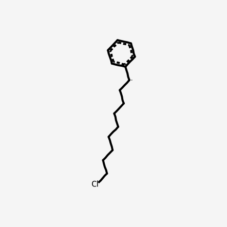 ClCCCCCCCC[CH]c1ccccc1